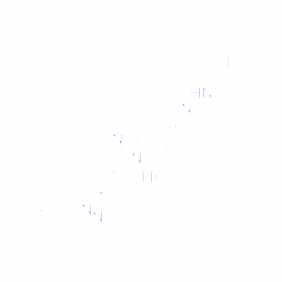 Cl.O=C(NCC(F)(F)F)Nc1cccc(-c2cnc3cc(-c4cnn(C5CCOC5)c4)ccn23)c1